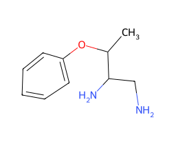 CC(Oc1ccccc1)C(N)CN